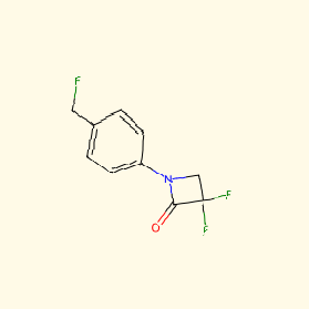 O=C1N(c2ccc(CF)cc2)CC1(F)F